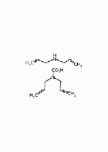 C=CCN(CC=C)C(=O)O.C=CCNCC=C